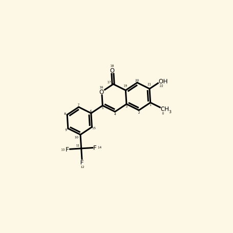 Cc1cc2cc(-c3cccc(C(F)(F)F)c3)oc(=O)c2cc1O